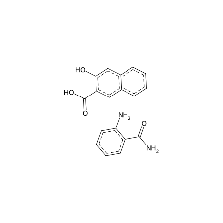 NC(=O)c1ccccc1N.O=C(O)c1cc2ccccc2cc1O